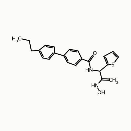 C=C(NO)C(NC(=O)c1ccc(-c2ccc(CCC)cc2)cc1)c1cccs1